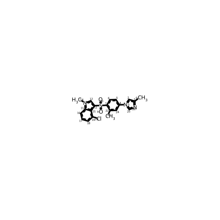 Cc1cn(-c2ccc(S(=O)(=O)c3cn(C)c4cccc(Cl)c34)c(C)c2)cn1